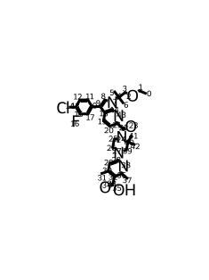 CCOCC(C)(C)n1cc(-c2ccc(Cl)c(F)c2)c2ccc(C(=O)N3CCN(c4cc(C)c(C(=O)O)c(C)n4)CC3(C)C)nc21